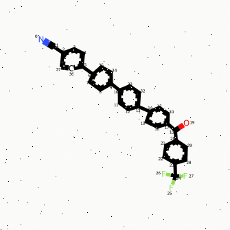 N#Cc1ccc(-c2ccc(-c3ccc(-c4ccc(C(=O)c5ccc(C(F)(F)F)cc5)cc4)cc3)cc2)cc1